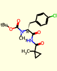 CN(C(=O)OC(C)(C)C)[C@H](Cc1ccc(Cl)cc1)C(=O)NC(=O)C1(C)CC1